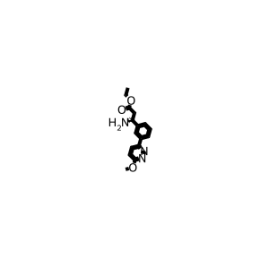 CCOC(=O)C[C@H](N)c1cccc(-c2ccc(OC)nn2)c1